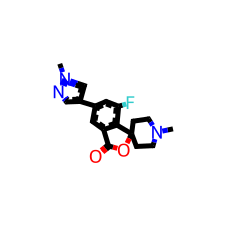 CN1CCC2(CC1)OC(=O)c1cc(-c3cnn(C)c3)cc(F)c12